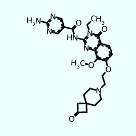 CCn1c(NC(=O)c2cnc(N)nc2)nc2c(OC)c(OCCN3CCC4(CC3)CC(=O)C4)ccc2c1=O